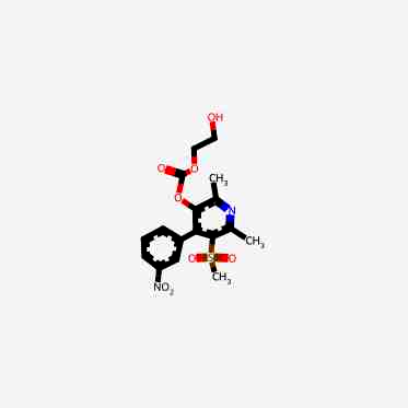 Cc1nc(C)c(S(C)(=O)=O)c(-c2cccc([N+](=O)[O-])c2)c1OC(=O)OCCO